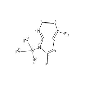 Cc1cc2c(F)ccnc2n1[Si](C(C)C)(C(C)C)C(C)C